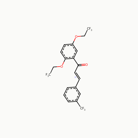 O=C(/C=C/c1cccc(C(F)(F)F)c1)c1cc(OCC(F)(F)F)ccc1OCC(F)(F)F